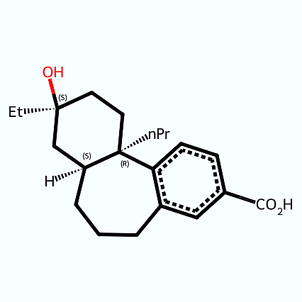 CCC[C@@]12CC[C@@](O)(CC)C[C@@H]1CCCc1cc(C(=O)O)ccc12